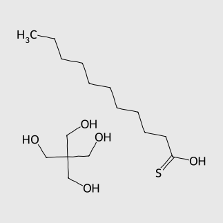 CCCCCCCCCCC(O)=S.OCC(CO)(CO)CO